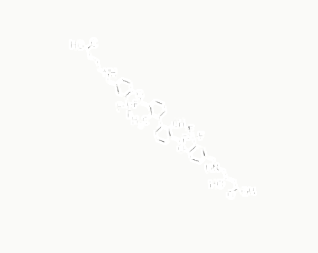 Cc1c(COc2ccc(CNCCCC(=O)O)cc2C(F)(F)F)cccc1-c1cccc(COc2ccc(CNC[C@@H](O)CC(=O)O)cc2C(F)(F)F)c1C